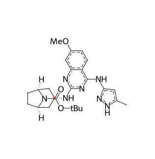 COc1ccc2c(Nc3cc(C)[nH]n3)nc(N[C@@H]3C[C@H]4CC[C@@H](C3)N4C(=O)OC(C)(C)C)nc2c1